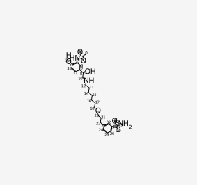 CS(=O)(=O)Nc1cc([C@@H](O)CNCCCCCCCOCCCc2cccc(S(N)(=O)=O)c2)ccc1O